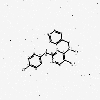 CCN(Cc1ccncc1)c1nc(Nc2ccc(Cl)cc2)ncc1[N+](=O)[O-]